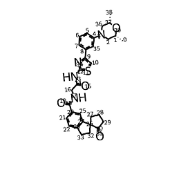 C[C@@H]1CN(c2cccc(-c3csc(NC(=O)CNC(=O)c4ccc5c(c4)C4(CCCC4=O)CC5)n3)c2)C[C@H](C)O1